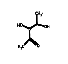 [CH2]C(O)N(O)C(C)=O